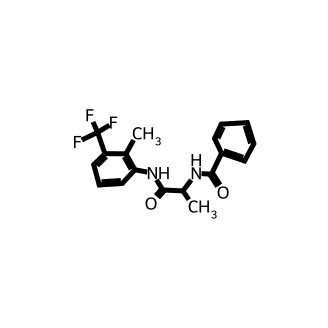 Cc1c(NC(=O)C(C)NC(=O)c2ccccc2)cccc1C(F)(F)F